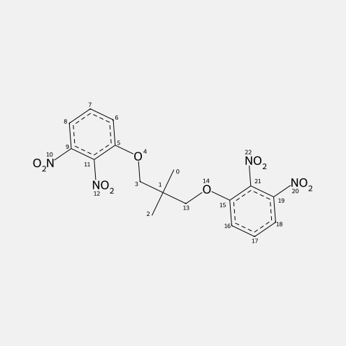 CC(C)(COc1cccc([N+](=O)[O-])c1[N+](=O)[O-])COc1cccc([N+](=O)[O-])c1[N+](=O)[O-]